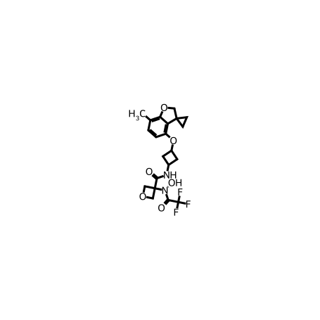 Cc1ccc(OC2CC(NC(=O)C3(N(O)C(=O)C(F)(F)F)COC3)C2)c2c1OCC21CC1